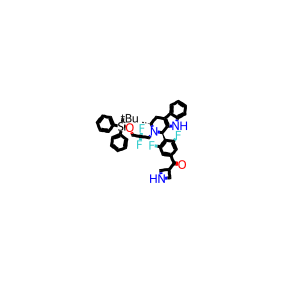 C[C@@H]1Cc2c([nH]c3ccccc23)[C@@H](c2c(F)cc(C(=O)C3CNC3)cc2F)N1CC(F)(F)CO[Si](c1ccccc1)(c1ccccc1)C(C)(C)C